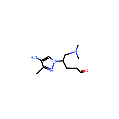 Cc1nn(C(CCC=O)CN(C)C)cc1N